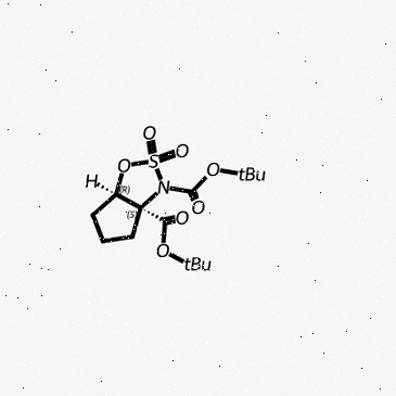 CC(C)(C)OC(=O)N1[C@@]2(C(=O)OC(C)(C)C)CCC[C@H]2OS1(=O)=O